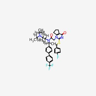 [2H]C([2H])(C)N(C([2H])([2H])C)C([2H])([2H])C([2H])([2H])N(C(=O)Cn1c(SCc2ccc(F)cc2)nc(=O)c2c1CCC2)C([2H])(C)c1ccc(-c2ccc(C(F)(F)F)cc2)cc1